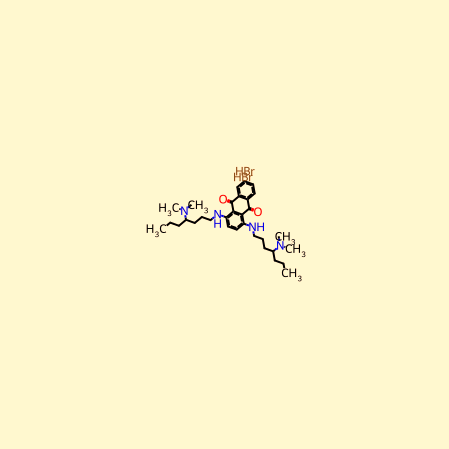 Br.Br.CCCC(CCCNc1ccc(NCCCC(CCC)N(C)C)c2c1C(=O)c1ccccc1C2=O)N(C)C